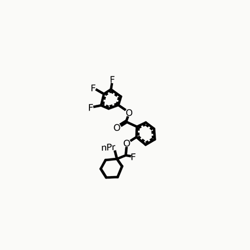 CCCC1(C(F)Oc2ccccc2C(=O)Oc2cc(F)c(F)c(F)c2)CCCCC1